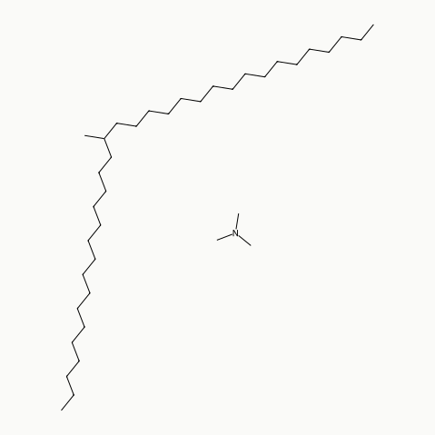 CCCCCCCCCCCCCCCCCC(C)CCCCCCCCCCCCCCCC.CN(C)C